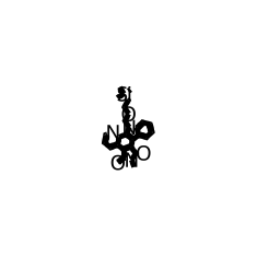 CN1C(=O)c2c(c3c4ccccc4n(COCC[Si](C)(C)C)c3c3ncccc23)C1=O